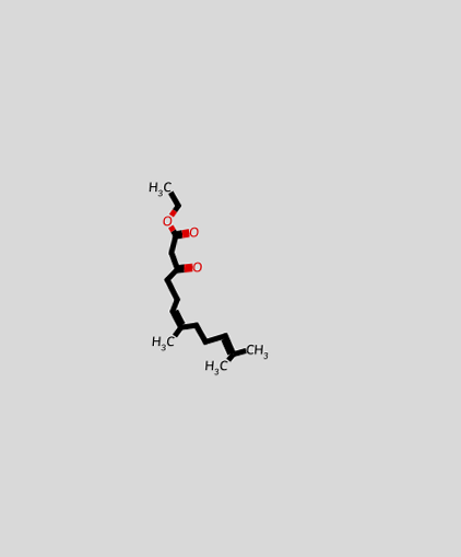 CCOC(=O)CC(=O)CCC=C(C)CCC=C(C)C